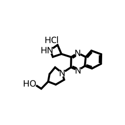 Cl.OCC1CCN(c2nc3ccccc3nc2C2CNC2)CC1